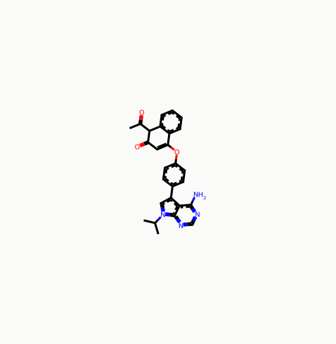 CC(=O)C1C(=O)C=C(Oc2ccc(-c3cn(C(C)C)c4ncnc(N)c34)cc2)c2ccccc21